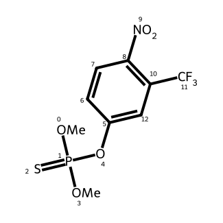 COP(=S)(OC)Oc1ccc([N+](=O)[O-])c(C(F)(F)F)c1